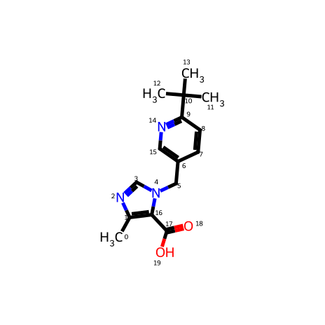 Cc1ncn(Cc2ccc(C(C)(C)C)nc2)c1C(=O)O